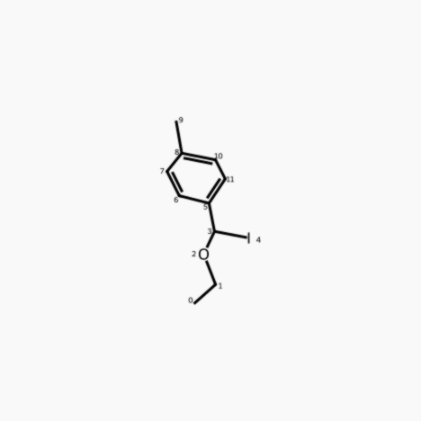 CCOC(I)c1ccc(C)cc1